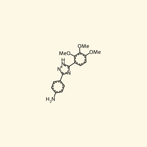 COc1ccc(-c2nc(-c3ccc(N)cc3)n[nH]2)c(OC)c1OC